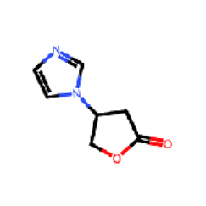 O=C1CC(n2ccnc2)CO1